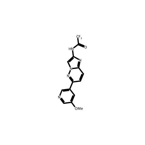 COc1cncc(-c2ccc3nc(NC(=O)C(F)(F)F)cn3n2)c1